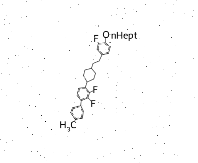 CCCCCCCOc1ccc(CCC2CCC(c3ccc(-c4ccc(C)cc4)c(F)c3F)CC2)cc1F